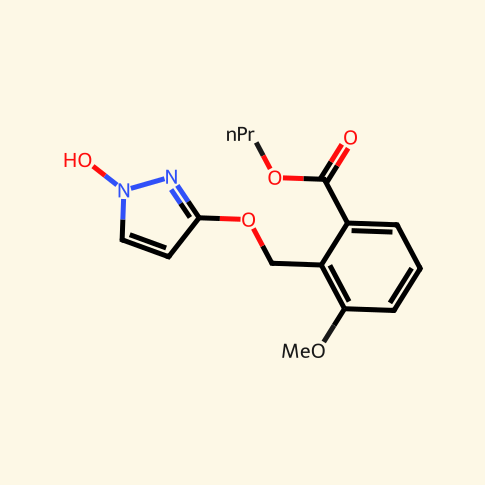 CCCOC(=O)c1cccc(OC)c1COc1ccn(O)n1